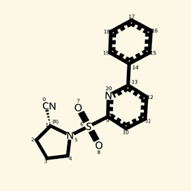 N#C[C@H]1CCCN1S(=O)(=O)c1cccc(-c2ccccc2)n1